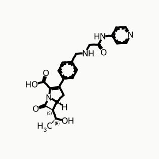 C[C@@H](O)[C@H]1C(=O)N2C(C(=O)O)=C(c3ccc(CNCC(=O)Nc4ccncc4)cc3)C[C@H]12